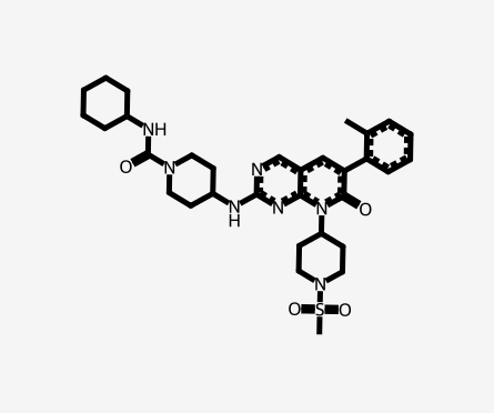 Cc1ccccc1-c1cc2cnc(NC3CCN(C(=O)NC4CCCCC4)CC3)nc2n(C2CCN(S(C)(=O)=O)CC2)c1=O